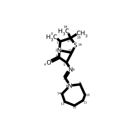 CC1N2C(=O)C(N=CN3CCCCCC3)C2SC1(C)C